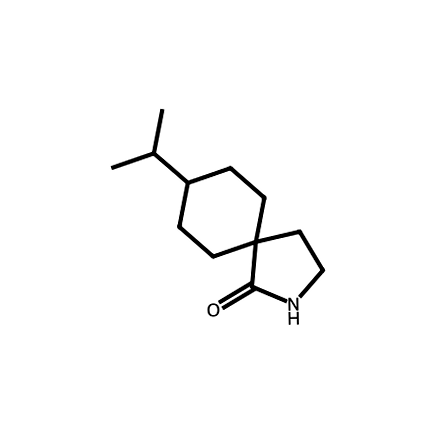 CC(C)C1CCC2(CCNC2=O)CC1